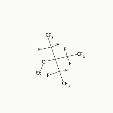 CCOC(C(F)(F)C(F)(F)F)(C(F)(F)C(F)(F)F)C(F)(F)C(F)(F)F